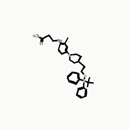 Cc1cc(N2CCC(CCO[Si](c3ccccc3)(c3ccccc3)C(C)(C)C)CC2)ccc1NCCC(=O)O